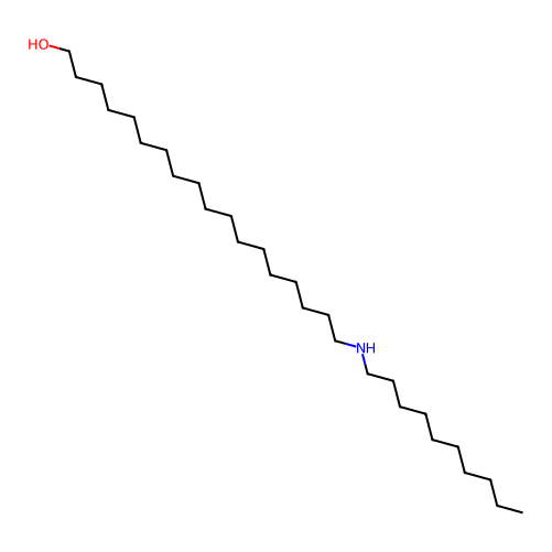 CCCCCCCCCCNCCCCCCCCCCCCCCCCCCO